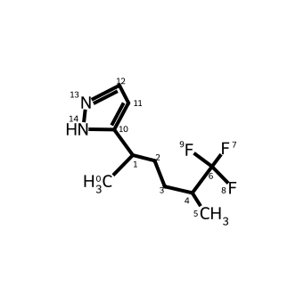 CC(CCC(C)C(F)(F)F)c1ccn[nH]1